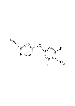 N#Cc1cc(Oc2cc(F)c(N)c(F)c2)ccn1